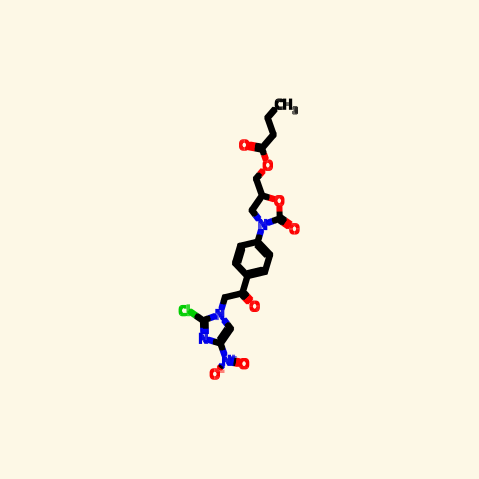 CCCC(=O)OCC1CN(c2ccc(C(=O)Cn3cc([N+](=O)[O-])nc3Cl)cc2)C(=O)O1